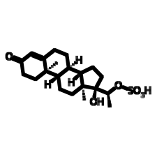 C[C@H](OS(=O)(=O)O)[C@@]1(O)CC[C@H]2[C@@H]3CCC4=CC(=O)CC[C@]4(C)[C@H]3CC[C@@]21C